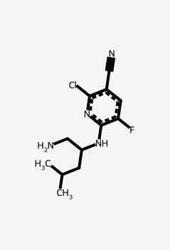 CC(C)CC(CN)Nc1nc(Cl)c(C#N)cc1F